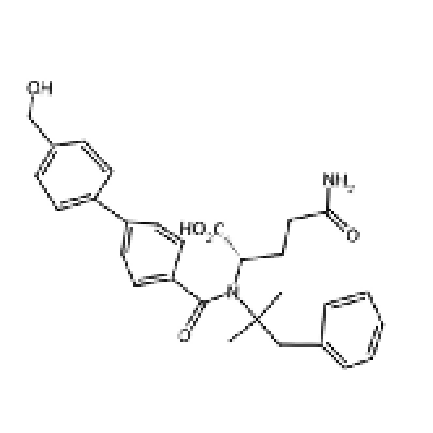 CC(C)(Cc1ccccc1)N(C(=O)c1ccc(-c2ccc(CO)cc2)cc1)[C@@H](CCC(N)=O)C(=O)O